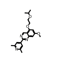 COc1cc(OCCOC(C)C)c2cnc(-c3cc(C)nc(C)c3)nc2c1